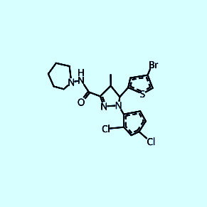 CC1C(C(=O)NN2CCCCC2)=NN(c2ccc(Cl)cc2Cl)C1c1cc(Br)cs1